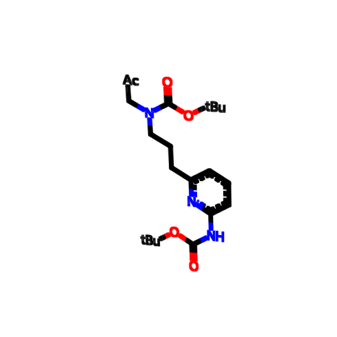 CC(=O)CN(CCCc1cccc(NC(=O)OC(C)(C)C)n1)C(=O)OC(C)(C)C